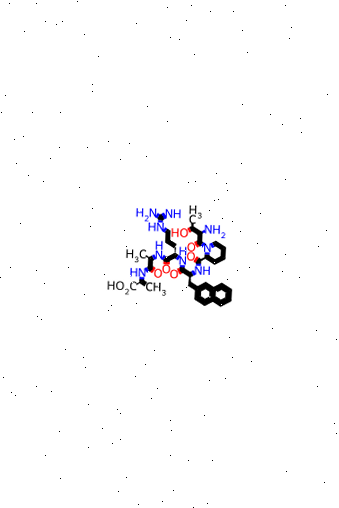 C[C@H](NC(=O)[C@H](CCCNC(=N)N)NC(=O)[C@H](Cc1ccc2ccccc2c1)NC(=O)[C@@H]1CCCCN1C(=O)[C@H](N)[C@H](C)O)C(=O)N[C@H](C)C(=O)O